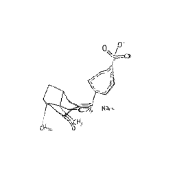 CC12CCC(C(=Cc3ccc(S(=O)(=O)[O-])cc3)C1=O)C2(C)C.[Na+]